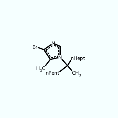 CCCCCCCC(C)(CCCCC)n1cnc(Br)c1C